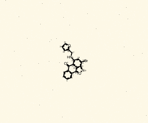 O=C1c2ccccc2-c2onc3c(Br)cc(NCc4ccco4)c1c23